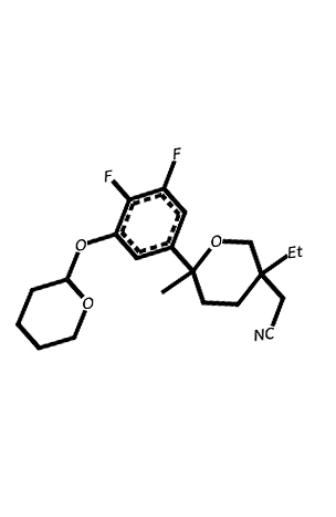 CCC1(CC#N)CCC(C)(c2cc(F)c(F)c(OC3CCCCO3)c2)OC1